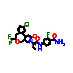 CC[C@@H](C(=O)Nc1ccc(C(N)=O)c(F)c1)n1cc2c(cc1=O)-c1cc(Cl)ccc1CC(C(F)F)OC2